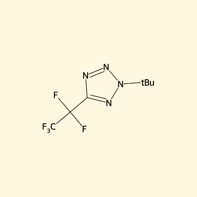 CC(C)(C)n1nnc(C(F)(F)C(F)(F)F)n1